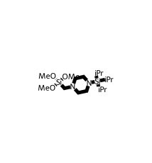 CO[Si](CN1CCN([Si](C(C)C)(C(C)C)C(C)C)CC1)(OC)OC